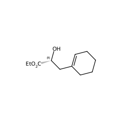 CCOC(=O)[C@H](O)CC1=CCCCC1